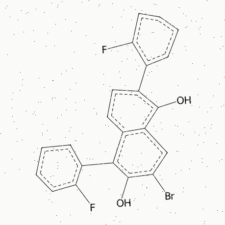 Oc1c(Br)cc2c(O)c(-c3ccccc3F)ccc2c1-c1ccccc1F